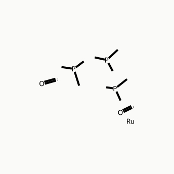 CP(C)C.CP(C)C.CP(C)C.[C]=O.[C]=O.[Ru]